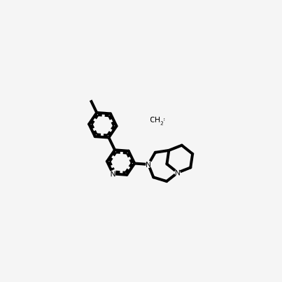 Cc1ccc(-c2cncc(N3CCN4CCCC(C4)C3)c2)cc1.[CH2]